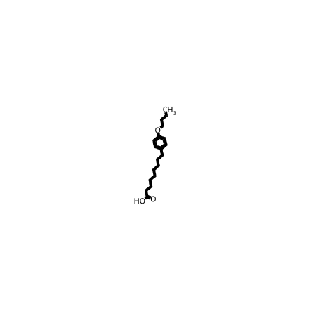 CCCCOc1ccc(CCCCCCCCC(=O)O)cc1